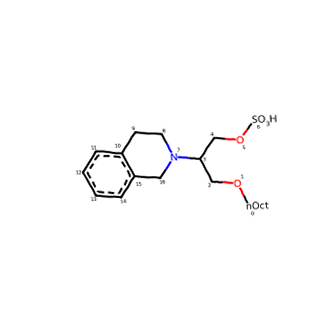 CCCCCCCCOCC(COS(=O)(=O)O)N1CCc2ccccc2C1